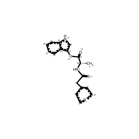 C[C@H](NC(=S)Cc1ccccc1)C(=O)Oc1c[nH]c2ccccc12